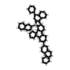 c1ccc(-c2cc3c(c4ccccc24)c2ccc4c5ccc(-c6ccc7c(ccc8ccccc87)c6)cc5c5ccccc5c4c2n3-c2ccc3ccccc3c2)cc1